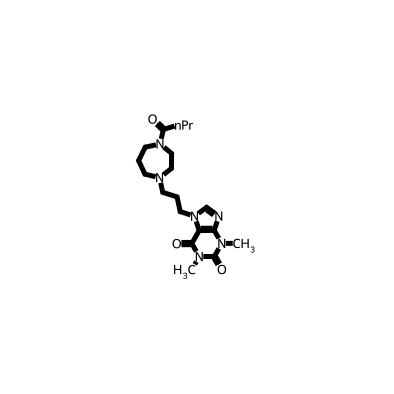 CCCC(=O)N1CCCN(CCCn2cnc3c2c(=O)n(C)c(=O)n3C)CC1